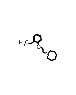 CCc1ccccc1OCCN1CCCCCC1